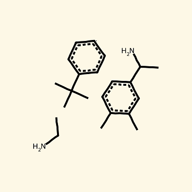 CC(C)(C)c1cc[c]cc1.CCN.Cc1ccc(C(C)N)cc1C